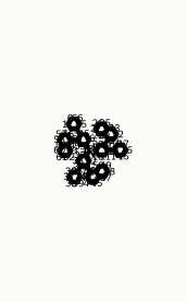 c1ccc(-c2ccc(N(c3ccc(-c4ccccc4)c(-c4cccc5ccccc45)c3)c3ccc(-c4ccccc4)c(-c4cccc5ccccc45)c3)cc2-c2cccc3ccccc23)cc1